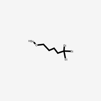 CCC(CC)(CC)CCCC[O][SnH]